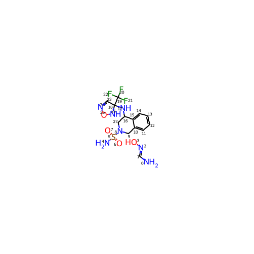 NC=NO.NS(=O)(=O)N1Cc2ccccc2C(NC2(C(F)(F)F)C=NON2)C1